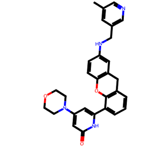 Cc1cncc(CNc2ccc3c(c2)Cc2cccc(-c4cc(N5CCOCC5)cc(=O)[nH]4)c2O3)c1